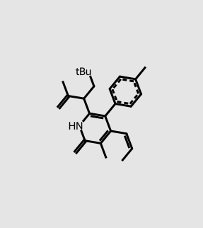 C=C1NC(C(CC(C)(C)C)C(=C)C)=C(c2ccc(C)cc2)C(/C=C\C)=C1C